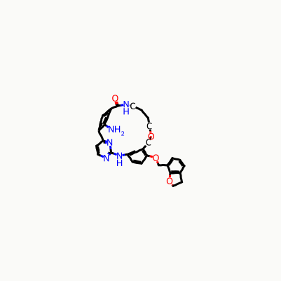 Nc1cc2ccc1-c1ccnc(n1)Nc1ccc(OCc3cccc4c3OCC4)c(c1)COCCCCNC2=O